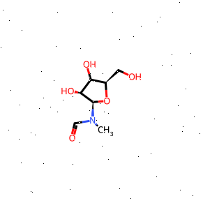 CN(C=O)[C@@H]1O[C@H](CO)C(O)[C@@H]1O